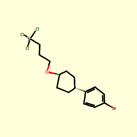 Cl[Si](Cl)(Cl)CCCO[C@H]1CC[C@H](c2ccc(Br)cc2)CC1